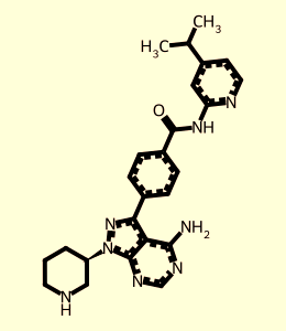 CC(C)c1ccnc(NC(=O)c2ccc(-c3nn([C@@H]4CCCNC4)c4ncnc(N)c34)cc2)c1